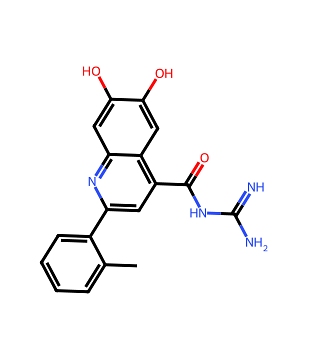 Cc1ccccc1-c1cc(C(=O)NC(=N)N)c2cc(O)c(O)cc2n1